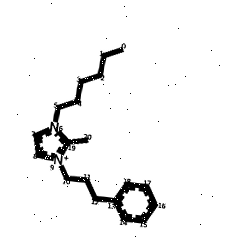 CCCCCCn1cc[n+](CCCc2ccccc2)c1C